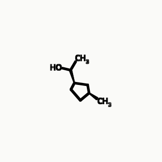 CC(O)[C@@H]1CC[C@H](C)C1